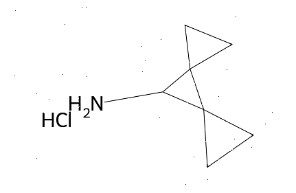 Cl.NC1C2(CC2)C12CC2